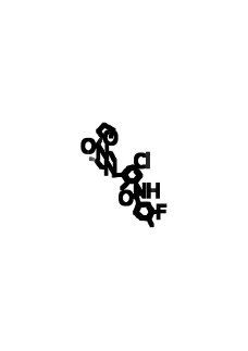 Cc1ccc(C(=O)Nc2cc(Cl)cc(CN3CCN(C(=O)[C@H]4CCCO4)[C@@H](C)C3)c2C)cc1F